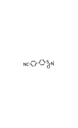 CN(C)C(=O)Sc1ccc(-c2ccc(C#N)cc2)cc1